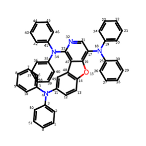 c1ccc(N(c2ccccc2)c2ccc3oc4c(N(c5ccccc5)c5ccccc5)cnc(N(c5ccccc5)c5ccccc5)c4c3c2)cc1